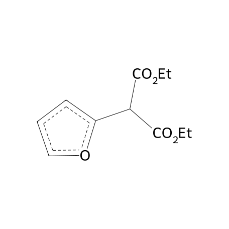 CCOC(=O)C(C(=O)OCC)c1ccco1